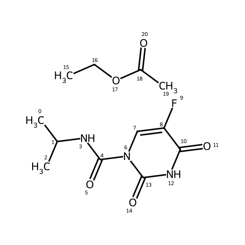 CC(C)NC(=O)n1cc(F)c(=O)[nH]c1=O.CCOC(C)=O